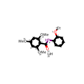 CCOc1ccccc1PC(=O)c1c(OC)cc(OC)cc1OC.[LiH]